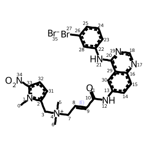 Cn1c(C[N+](C)(C)C/C=C/C(=O)Nc2ccc3ncnc(Nc4cccc(Br)c4)c3c2)ccc1[N+](=O)[O-].[Br-]